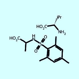 CC(C)[C@H](N)C(=O)O.Cc1cc(C)c(S(=O)(=O)NC(C)C(=O)O)c(C)c1